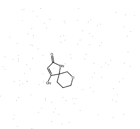 O=C1C=C(O)C2(CCCOC2)N1